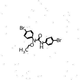 CCON(C(=O)Nc1ccc(Br)cc1)c1ccc(Br)cc1